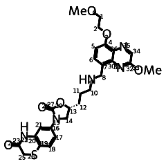 COCCOc1ccc(CNCCC[C@@H]2CN(c3ccc4c(c3)NC(=O)CS4)C(=O)O2)c2nc(OC)cnc12